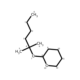 CCCCC(C)(C)OC1CCCCO1